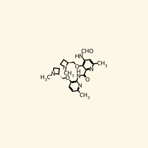 Cc1ccc(OC[C@H]2CCN2C)c(NC(=O)c2nc(C)cc(NC=O)c2OC[C@@H]2CCN2C)n1